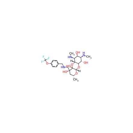 CN[C@@H]1[C@H](O)[C@H](NC)[C@H]2O[C@]3(O)[C@H](OC2[C@H]1O)O[C@H](C)C[C@]3(O)CNCc1ccc(OC(F)(F)F)cc1